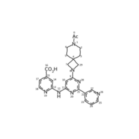 CC(=O)N1CCC2(CC1)CN(c1cc(Nc3cc(C(=O)O)ccn3)nc(-c3cccnc3)n1)C2